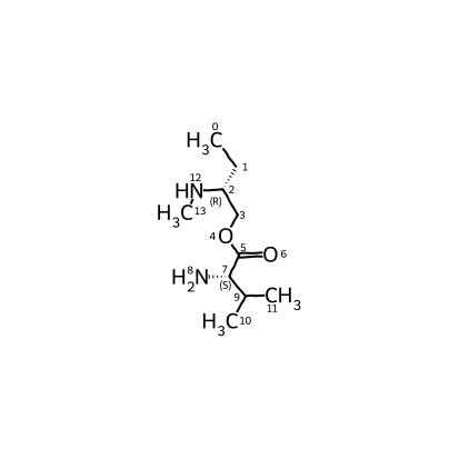 CC[C@H](COC(=O)[C@@H](N)C(C)C)NC